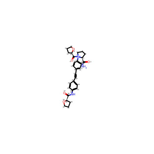 NC(=O)[C@@H]1CCC[N+]1(C(=O)[C@H]1CCCO1)c1ccc(C#Cc2ccc(NC(=O)[C@H]3CCCO3)cc2)cc1